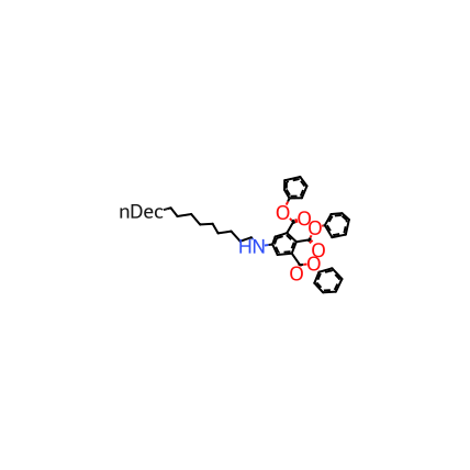 CCCCCCCCCCCCCCCCCCCNc1cc(C(=O)Oc2ccccc2)c(C(=O)Oc2ccccc2)c(C(=O)Oc2ccccc2)c1